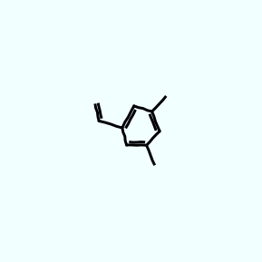 C=Cc1cc(C)cc(C)c1